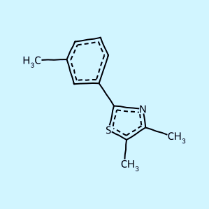 Cc1cccc(-c2nc(C)c(C)s2)c1